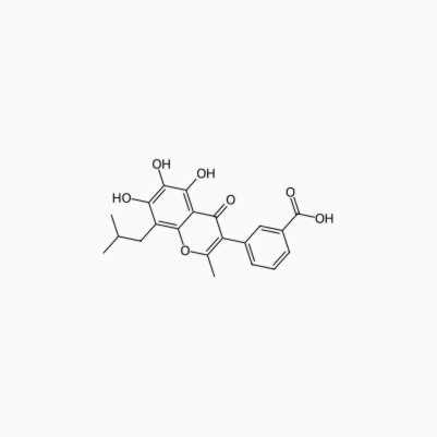 Cc1oc2c(CC(C)C)c(O)c(O)c(O)c2c(=O)c1-c1cccc(C(=O)O)c1